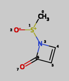 C[S+]([O-])N1C=CC1=O